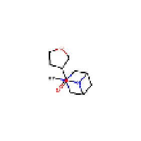 CC(C)N1CC2CC(C1)N2C(=O)C1CCOC1